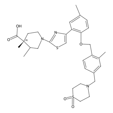 Cc1ccc(OCc2ccc(CN3CCS(=O)(=O)CC3)cc2C)c(-c2csc(N3CC[C@@](C)(C(=O)O)C(C)C3)n2)c1